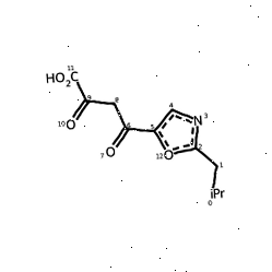 CC(C)Cc1ncc(C(=O)CC(=O)C(=O)O)o1